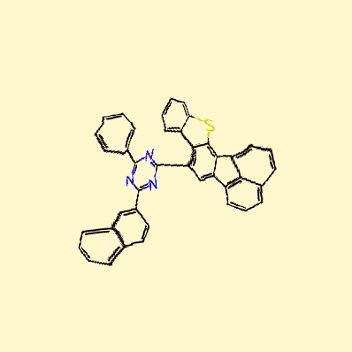 c1ccc(-c2nc(-c3ccc4ccccc4c3)nc(-c3cc4c(c5sc6ccccc6c35)-c3cccc5cccc-4c35)n2)cc1